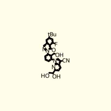 CC(C)(C)c1cc(F)c2c(=O)n(-c3cccc(-n4cc(C#N)c5ccc(C(O)CO)nc54)c3CO)ncc2c1